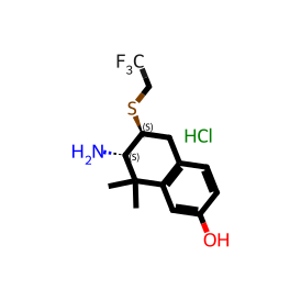 CC1(C)c2cc(O)ccc2C[C@H](SCC(F)(F)F)[C@H]1N.Cl